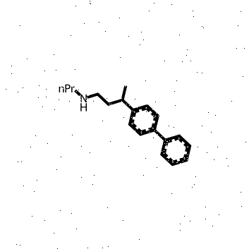 CCCNCCC(C)c1ccc(-c2ccccc2)cc1